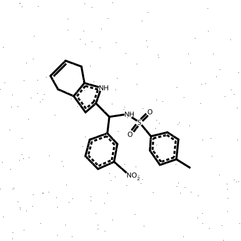 Cc1ccc(S(=O)(=O)NC(c2cccc([N+](=O)[O-])c2)c2cc3c([nH]2)CC=CC3)cc1